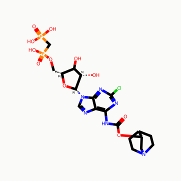 O=C(Nc1nc(Cl)nc2c1ncn2[C@@H]1O[C@H](COP(=O)(O)CP(=O)(O)O)C(O)[C@@H]1O)OC1CN2CCC1CC2